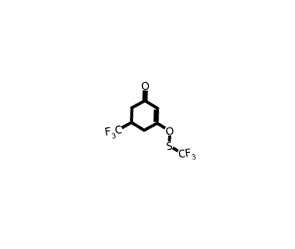 O=C1C=C(OSC(F)(F)F)CC(C(F)(F)F)C1